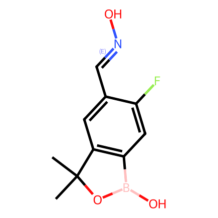 CC1(C)OB(O)c2cc(F)c(/C=N/O)cc21